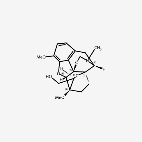 COc1ccc2c3c1O[C@H]1[C@@]4(OC)CC[C@@]5(C[C@@H]4CO)[C@@H](C2)N(C)CC[C@]315